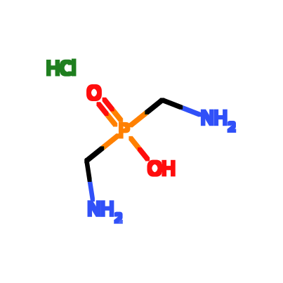 Cl.NCP(=O)(O)CN